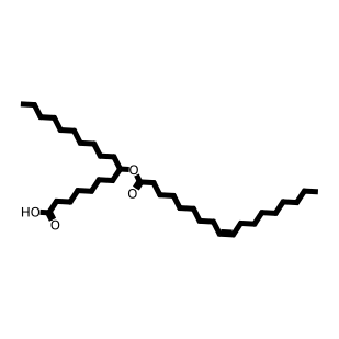 CCCCCCCC/C=C\CCCCCCCC(=O)OC(CCCCCCCCCC)CCCCCCC(=O)O